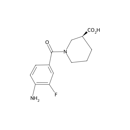 Nc1ccc(C(=O)N2CCC[C@H](C(=O)O)C2)cc1F